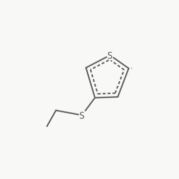 CCSc1c[c]sc1